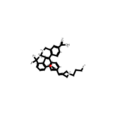 COc1cccc(C(F)(F)F)c1C1=C(c2ccc(C=C3CN(CCCF)C3)cc2)c2ccc(C(=O)O)cc2CCC1